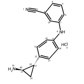 Cl.N#Cc1cccc(Nc2ccc([C@@H]3C[C@H]3N)cc2)c1